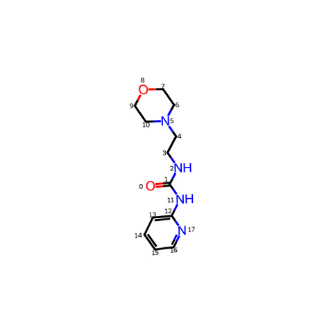 O=C(NCCN1CCOCC1)Nc1ccccn1